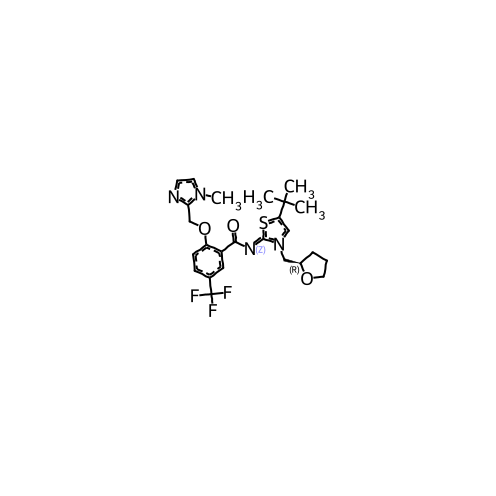 Cn1ccnc1COc1ccc(C(F)(F)F)cc1C(=O)/N=c1\sc(C(C)(C)C)cn1C[C@H]1CCCO1